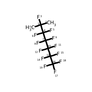 CC(C)(F)C(F)(F)C(F)(F)C(F)(F)C(F)(F)C(F)(F)F